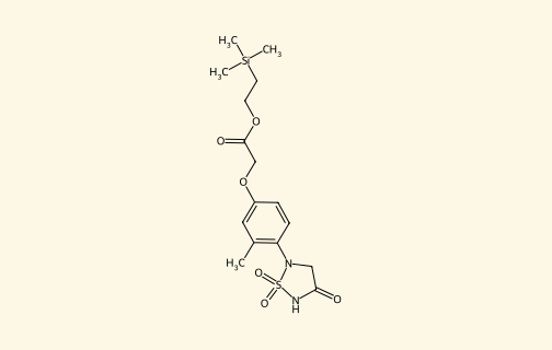 Cc1cc(OCC(=O)OCC[Si](C)(C)C)ccc1N1CC(=O)NS1(=O)=O